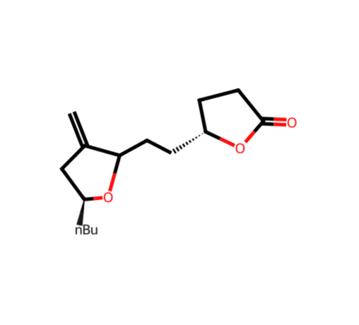 C=C1C[C@H](CCCC)OC1CC[C@@H]1CCC(=O)O1